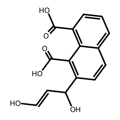 O=C(O)c1cccc2ccc(C(O)C=CO)c(C(=O)O)c12